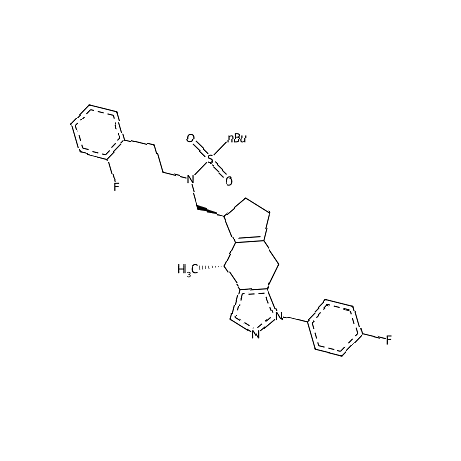 CCCCS(=O)(=O)N(CCc1ccccc1F)C[C@H]1CCC2=C1[C@@H](C)c1cnn(-c3ccc(F)cc3)c1C2